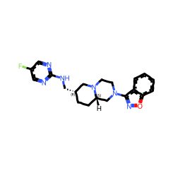 Fc1cnc(NC[C@H]2CC[C@H]3CN(c4noc5ccccc45)CCN3C2)nc1